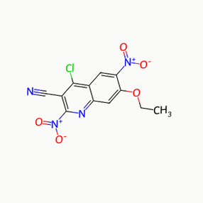 CCOc1cc2nc([N+](=O)[O-])c(C#N)c(Cl)c2cc1[N+](=O)[O-]